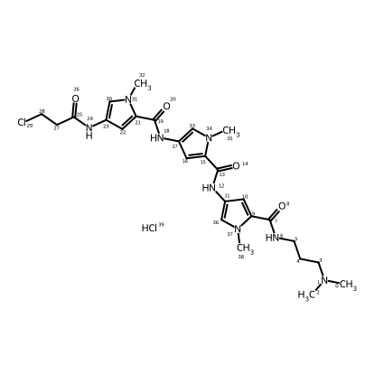 CN(C)CCCNC(=O)c1cc(NC(=O)c2cc(NC(=O)c3cc(NC(=O)CCCl)cn3C)cn2C)cn1C.Cl